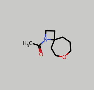 CC(=O)N1CCC12CCCOCC2